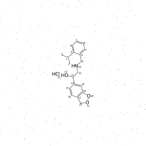 CC(C)c1ccccc1CNCC(O)c1ccc2c(c1)OOC2.Cl